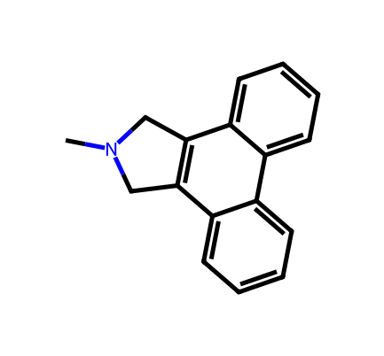 CN1Cc2c(c3ccccc3c3ccccc23)C1